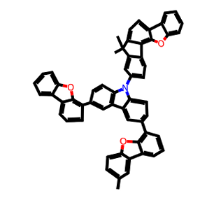 Cc1ccc2oc3c(-c4ccc5c(c4)c4cc(-c6cccc7c6oc6ccccc67)ccc4n5-c4ccc5c(c4)C(C)(C)c4ccc6c(oc7ccccc76)c4-5)cccc3c2c1